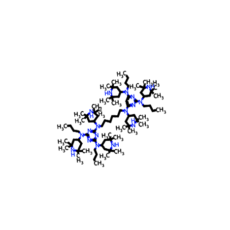 CCCCN(c1cc(N(CCCCCCN(c2nc(N(CCCC)C3CC(C)(C)NC(C)(C)C3)nc(N(CCCC)C3CC(C)(C)NC(C)(C)C3)n2)C2CC(C)(C)NC(C)(C)C2)C2CC(C)(C)NC(C)(C)C2)nc(N(CCCC)C2CC(C)(C)NC(C)(C)C2)n1)C1CC(C)(C)NC(C)(C)C1